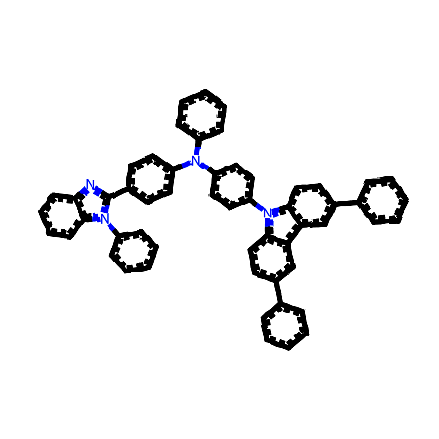 c1ccc(-c2ccc3c(c2)c2cc(-c4ccccc4)ccc2n3-c2ccc(N(c3ccccc3)c3ccc(-c4nc5ccccc5n4-c4ccccc4)cc3)cc2)cc1